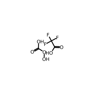 O=C(O)C(F)(F)F.O=C(O)OO